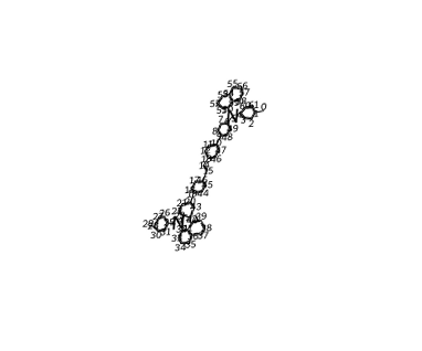 Cc1ccc(N(c2ccc(-c3ccc(/C=C/c4ccc(-c5ccc(N(c6ccc(C)cc6)c6cccc7ccccc67)cc5)cc4)cc3)cc2)c2cccc3ccccc23)cc1